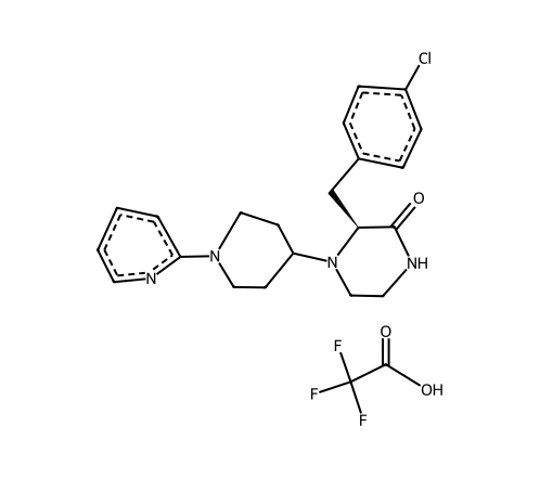 O=C(O)C(F)(F)F.O=C1NCCN(C2CCN(c3ccccn3)CC2)[C@H]1Cc1ccc(Cl)cc1